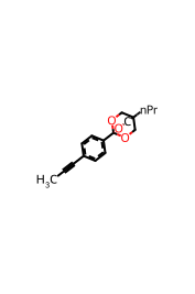 CC#Cc1ccc(C23OCC(CCC)(CO2)CO3)cc1